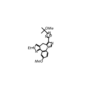 CCn1cc2c(n1)-c1cc(OC)ccc1-n1cnc(-c3nc(C(C)(C)OC)no3)c1C2